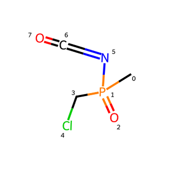 CP(=O)(CCl)N=C=O